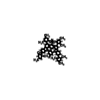 Cc1cc(C)c(-c2ccc3c(c2)c2ccc(-c4c(C)cc(C)cc4C)cc2n3-c2cc(F)cc(-n3c4ccc(-c5c(C)cc(C)cc5C)cc4c4ccc(-c5c(C)cc(C)cc5C)cc43)c2-c2ccc(C#N)cc2)c(C)c1